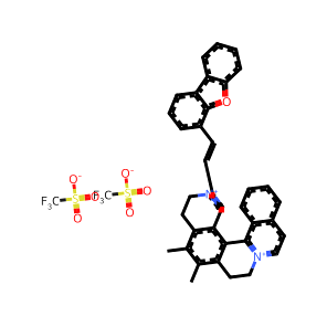 Cc1c(C)c2c(c3c1CC[n+]1ccc4ccccc4c1-3)-c1cccc(C=Cc3cccc4c3oc3ccccc34)[n+]1CC2.O=S(=O)([O-])C(F)(F)F.O=S(=O)([O-])C(F)(F)F